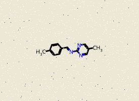 Cc1ccc(C=Nc2ncc(C)cn2)cc1